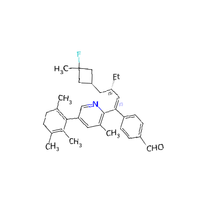 CC[C@H](/C=C(/c1ccc(C=O)cc1)c1ncc(C2=C(C)CCC(C)=C2C)cc1C)CC1CC(C)(F)C1